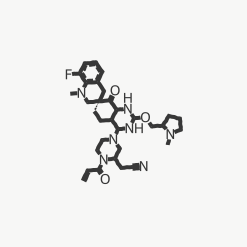 C=CC(=O)N1CCN(C2NC(OCC3CCCN3C)NC3C(=O)[C@]4(CCC32)Cc2cccc(F)c2N(C)C4)CC1CC#N